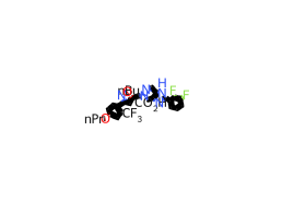 CCCCC(C(=O)O)(c1cc(-c2ccc(OCCC)cc2C(F)(F)F)no1)N1Cc2nc(-c3cccc(F)c3F)[nH]c2C=N1